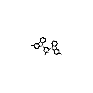 Cc1ccc2c(c1)c1ccccc1n2-c1cc(-n2c3ccccc3c3cc(C)ccc32)nc(C)n1